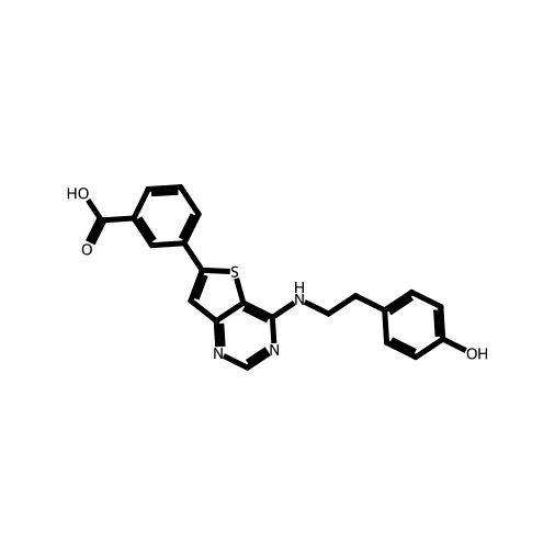 O=C(O)c1cccc(-c2cc3ncnc(NCCc4ccc(O)cc4)c3s2)c1